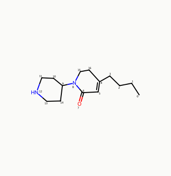 CCCCC1=CC(=O)N(C2CCNCC2)CC1